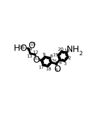 Nc1ccc(C(=O)c2ccc(OCCC(=O)O)cc2)cc1